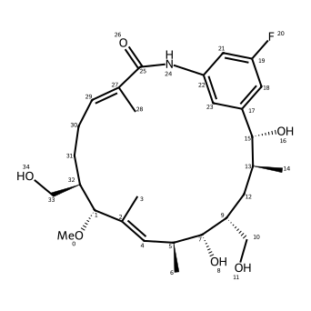 CO[C@H]1/C(C)=C/[C@H](C)[C@@H](O)[C@@H](CO)C[C@H](C)[C@@H](O)c2cc(F)cc(c2)NC(=O)/C(C)=C/CC[C@@H]1CO